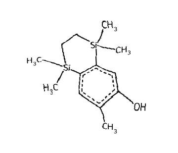 Cc1cc2c(cc1O)[Si](C)(C)CC[Si]2(C)C